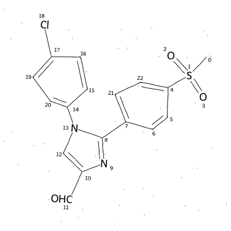 CS(=O)(=O)c1ccc(-c2nc(C=O)cn2-c2ccc(Cl)cc2)cc1